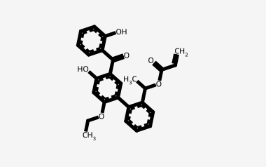 C=CC(=O)OC(C)c1ccccc1-c1cc(C(=O)c2ccccc2O)c(O)cc1OCC